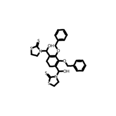 OC(C1=C(OCc2ccccc2)C(OCc2ccccc2)=C(C(O)N2CCSC2=S)CC1)N1CCSC1=S